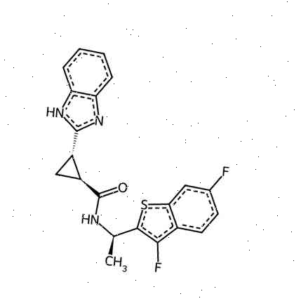 C[C@@H](NC(=O)[C@H]1C[C@@H]1c1nc2ccccc2[nH]1)c1sc2cc(F)ccc2c1F